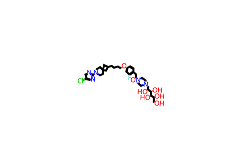 O=C(Cc1ccc(OCCCCC2CC3(CCN(c4ncc(Cl)cn4)CC3)C2)cc1F)N1CCN(C[C@H](O)[C@@H](O)[C@H](O)[C@H](O)CO)CC1